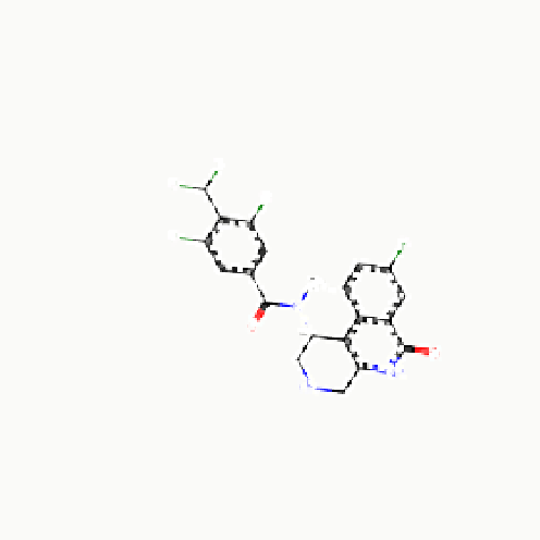 CN(C(=O)c1cc(F)c(C(F)F)c(F)c1)[C@H]1CNCc2[nH]c(=O)c3cc(F)ccc3c21